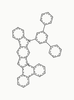 c1ccc(-c2cc(-c3ccccc3)cc(-n3c4ccccc4c4cc5cc6c7ccccc7c7ccccc7n6c5cc43)c2)cc1